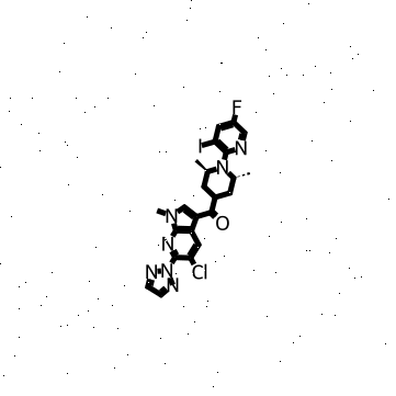 C[C@@H]1CC(C(=O)c2cn(C)c3nc(-n4nccn4)c(Cl)cc23)C[C@@H](C)N1c1ncc(F)cc1I